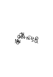 CCOC(=O)c1cc2c(s1)CN(CCNc1nccc3ccc(-c4noc(C)n4)cc13)CC2